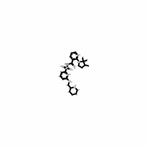 CC1CCN(c2ncccc2C(=O)NS(=O)(=O)c2cccc(OCC3CCCCO3)n2)C1(C)C